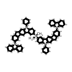 C[Si](C)(c1ccc2c(c1)c1cc3c(cc1n2-c1ccccc1)Cc1ccc(-n2c4ccccc4c4ccccc42)cc1-3)c1ccc2c(c1)c1cc3c(cc1n2-c1ccccc1)Cc1ccc(-n2c4ccccc4c4ccccc42)cc1-3